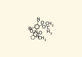 CC(C)OC(=O)c1cc(-n2c(=O)c3c(n(C)c2=O)CCC3)c(Br)cc1C#N